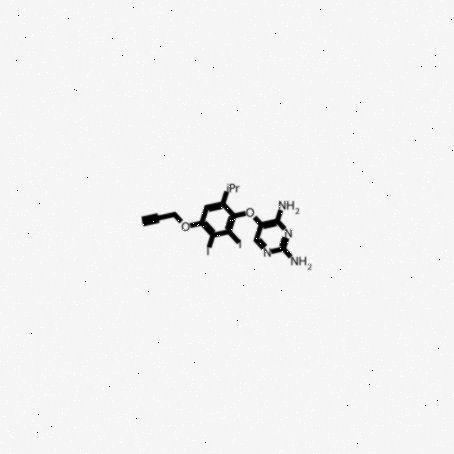 C#CCOc1cc(C(C)C)c(Oc2cnc(N)nc2N)c(I)c1I